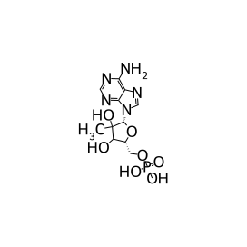 CC1(O)C(O)[C@@H](COP(=O)(O)O)O[C@H]1n1cnc2c(N)ncnc21